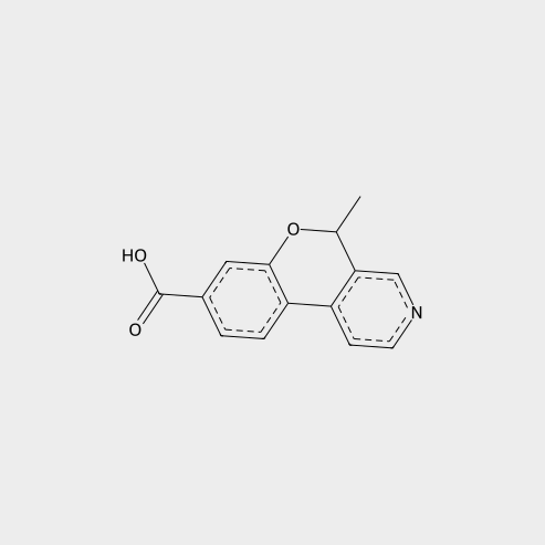 CC1Oc2cc(C(=O)O)ccc2-c2ccncc21